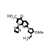 CO[C@H]1CN(c2ccc3c(=O)c(C(=O)O)cn(-c4nccs4)c3n2)C[C@@H]1CN